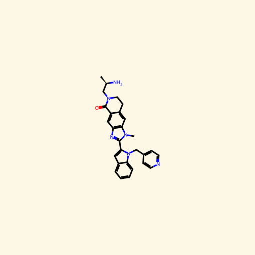 C[C@@H](N)CN1CCc2cc3c(cc2C1=O)nc(-c1cc2ccccc2n1Cc1ccncc1)n3C